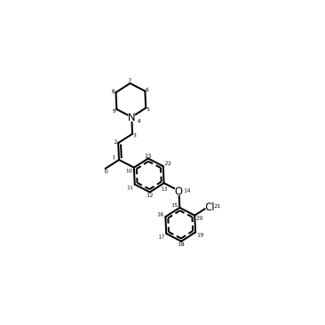 CC(=CCN1CCCCC1)c1ccc(Oc2ccccc2Cl)cc1